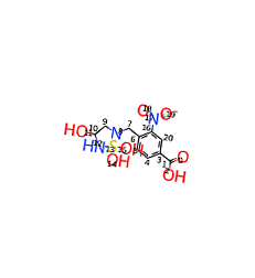 O=C(O)c1ccc(CN2CC(O)NS2(O)O)c([N+](=O)[O-])c1